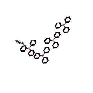 [Pd].[Pd].[Pd].[Pd].[Pd].c1ccc(P(c2ccccc2)c2ccccc2)cc1.c1ccc(P(c2ccccc2)c2ccccc2)cc1.c1ccc(P(c2ccccc2)c2ccccc2)cc1.c1ccc(P(c2ccccc2)c2ccccc2)cc1